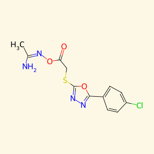 CC(N)=NOC(=O)CSc1nnc(-c2ccc(Cl)cc2)o1